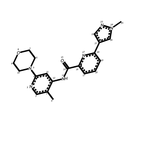 Cc1cnc(N2CCOCC2)cc1NC(=O)c1cccc(-c2cnn(C)c2)n1